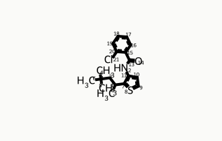 CC(CC(C)(C)C)c1sccc1NC(=O)c1ccccc1Cl